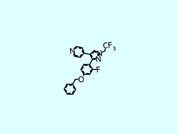 Fc1cc(OCc2ccccc2)ccc1-c1nn(CC(F)(F)F)cc1-c1ccncc1